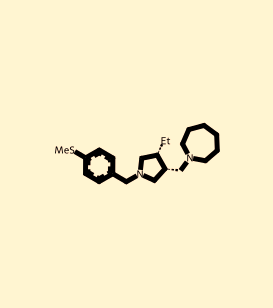 CC[C@H]1CN(Cc2ccc(SC)cc2)C[C@H]1CN1CCCCCC1